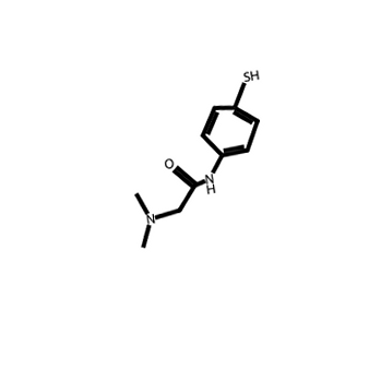 CN(C)CC(=O)Nc1ccc(S)cc1